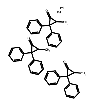 CC1C(=O)C1(c1ccccc1)c1ccccc1.CC1C(=O)C1(c1ccccc1)c1ccccc1.CC1C(=O)C1(c1ccccc1)c1ccccc1.[Pd].[Pd]